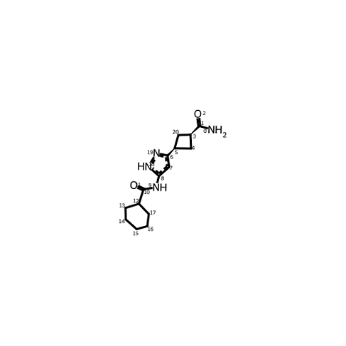 NC(=O)[C@H]1C[C@@H](c2cc(NC(=O)C3CCCCC3)[nH]n2)C1